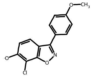 COc1ccc(-c2noc3c(Cl)c([O])ccc23)cc1